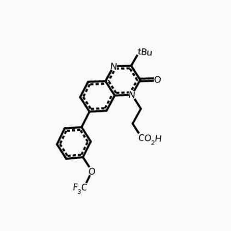 CC(C)(C)c1nc2ccc(-c3cccc(OC(F)(F)F)c3)cc2n(CCC(=O)O)c1=O